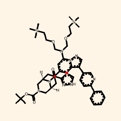 CC(C)(C)OC(=O)N1C[C@H]2CC(c3cc(N(COCC[Si](C)(C)C)COCC[Si](C)(C)C)n4ncc(-c5ccc(-c6ccccc6)nc5)c4n3)C[C@@H](C1)N2C(=O)c1nc[nH]n1